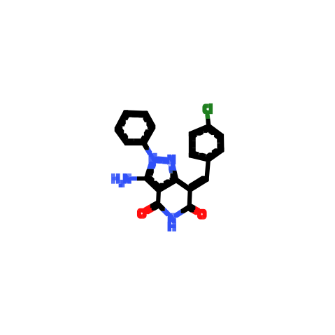 Nc1c2c(nn1-c1ccccc1)/C(=C\c1ccc(Cl)cc1)C(=O)NC2=O